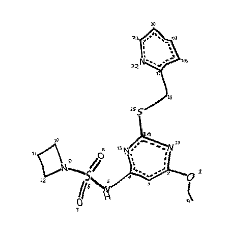 COc1cc(NS(=O)(=O)N2CCC2)nc(SCc2ccccn2)n1